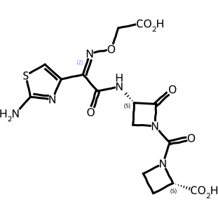 Nc1nc(/C(=N/OCC(=O)O)C(=O)N[C@H]2CN(C(=O)N3CC[C@H]3C(=O)O)C2=O)cs1